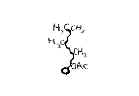 CC=C(C)CCC=C(C)CCC=C(C)CC=C(OC(C)=O)c1ccccc1